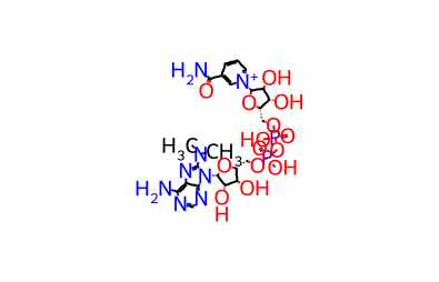 CN(C)c1nc2c(N)ncnc2n1[C@@H]1O[C@H](COP(=O)(O)OP(=O)(O)OC[C@@H]2O[C@H]([n+]3cccc(C(N)=O)c3)C(O)[C@@H]2O)C(O)[C@@H]1O